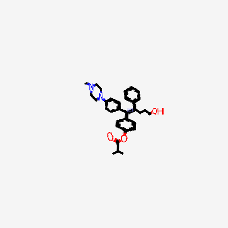 CC(C)C(=O)Oc1ccc(/C(=C(\CCCO)c2ccccc2)c2ccc(N3CCN(C)CC3)cc2)cc1